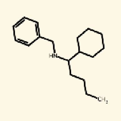 CCCCC(NCc1ccccc1)C1CCCCC1